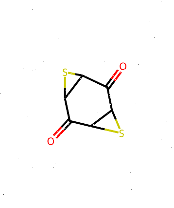 O=C1C2SC2C(=O)C2SC12